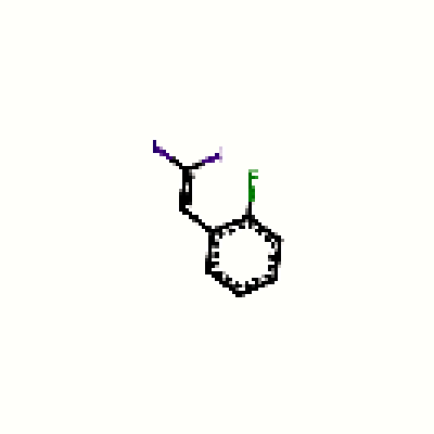 Fc1ccccc1C=C(I)I